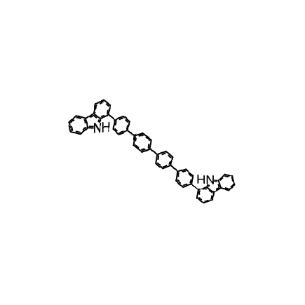 c1ccc2c(c1)[nH]c1c(-c3ccc(-c4ccc(-c5ccc(-c6ccc(-c7cccc8c7[nH]c7ccccc78)cc6)cc5)cc4)cc3)cccc12